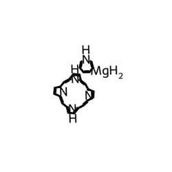 C1=CC=CNC=C1.C1=Cc2cc3ccc(cc4nc(cc5ccc(cc1n2)[nH]5)C=C4)[nH]3.[MgH2]